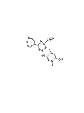 Cc1cc(Nc2cc(C(F)(F)F)nc(-c3cnccn3)n2)c(C)cc1O.Cl